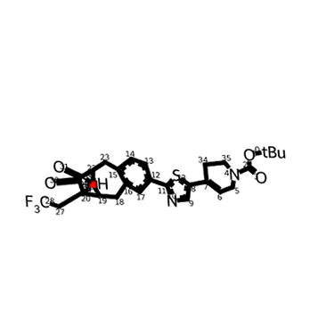 CC(C)(C)OC(=O)N1CC=C(c2cnc(-c3ccc4c(c3)CC3CCC(C4)C34CN(CC(F)(F)F)S(=O)(=O)N4)s2)CC1